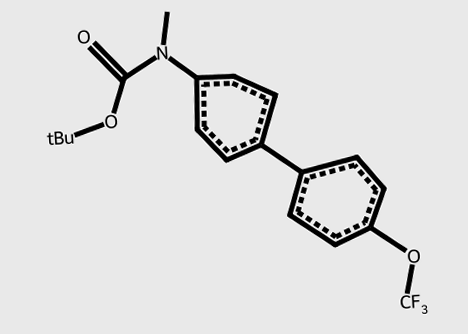 CN(C(=O)OC(C)(C)C)c1ccc(-c2ccc(OC(F)(F)F)cc2)cc1